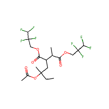 CCC(C)(CC(C(=O)OCC(F)(F)C(F)F)C(C)C(=O)OCC(F)(F)C(F)F)OC(C)=O